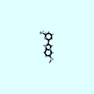 COc1ccc2nc(-c3cccc(Br)n3)cn2c1